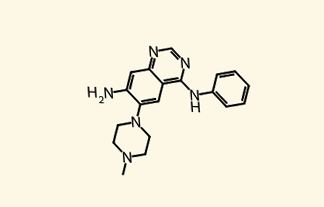 CN1CCN(c2cc3c(Nc4ccccc4)ncnc3cc2N)CC1